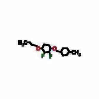 CCCCOC1CCC(OCC2CCC(C)CC2)C(F)C1F